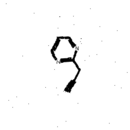 [C]#CCc1ncccn1